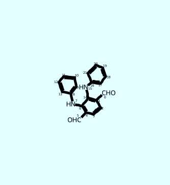 O=Cc1ccc(C=O)c(Nc2ccccc2)c1Nc1ccccc1